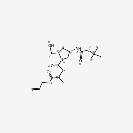 C=CCOC(=O)N(C)CC(=O)N1C[C@@H](NC(=O)OC(C)(C)C)C[C@H]1CO